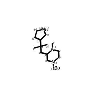 CN1CCN(C(C)(C)C)CC1CC(C)(C)C1CCNC1